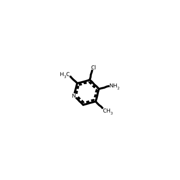 Cc1cnc(C)c(Cl)c1N